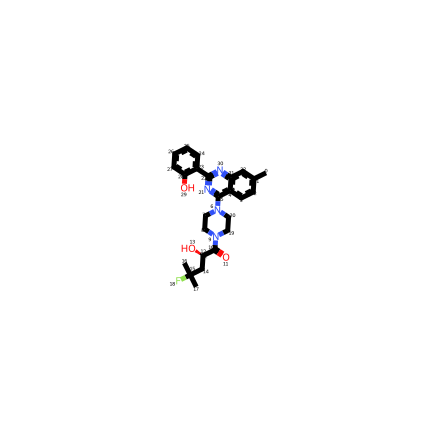 Cc1ccc2c(N3CCN(C(=O)[C@H](O)CC(C)(C)F)CC3)nc(-c3ccccc3O)nc2c1